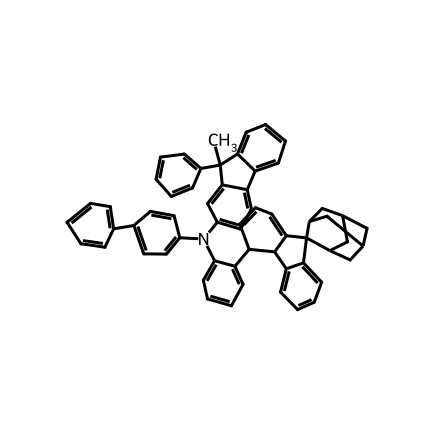 CC1(c2ccccc2)c2ccccc2-c2ccc(N(c3ccc(-c4ccccc4)cc3)c3ccccc3C3C=CC=C4C3c3ccccc3C43C4CC5CC(C4)CC3C5)cc21